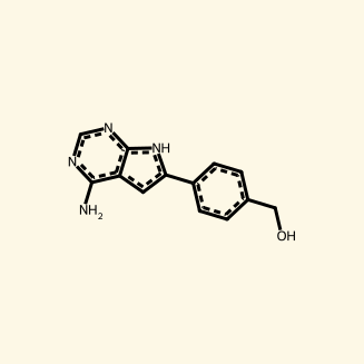 Nc1ncnc2[nH]c(-c3ccc(CO)cc3)cc12